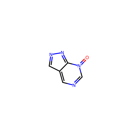 O=[N+]1C=NC=C2C=NN=C21